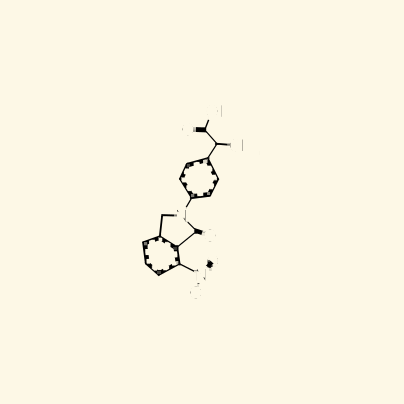 CC(C(=O)O)c1ccc(N2Cc3cccc([N+](=O)[O-])c3C2=O)cc1